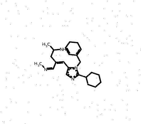 C/N=C\C(=C/c1cnc(C2CCCCC2)n1CC1=CCCC=C1)CC(C)N